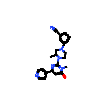 CC1CN(c2cccc(C#N)c2)CCN1c1nc(-c2ccncc2)cc(=O)n1C